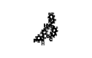 O=C(Cl)c1ccc2ccccc2n1.O=C(NCCN1CCC(c2c[nH]c3cc(F)ccc23)CC1)c1ccc2ccccc2n1